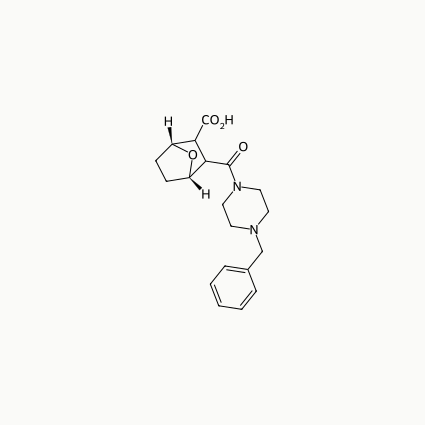 O=C(O)C1C(C(=O)N2CCN(Cc3ccccc3)CC2)[C@@H]2CC[C@H]1O2